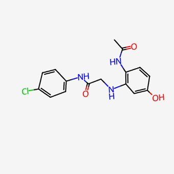 CC(=O)Nc1ccc(O)cc1NCC(=O)Nc1ccc(Cl)cc1